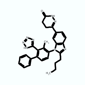 CCCCc1nc2ccc(C3=NNC(=O)CC3)cc2n1-c1ccc(-c2ccccc2)c(-c2nnn[nH]2)c1C